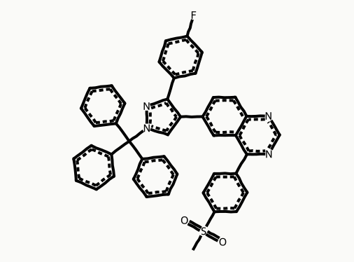 CS(=O)(=O)c1ccc(-c2ncnc3ccc(-c4cn(C(c5ccccc5)(c5ccccc5)c5ccccc5)nc4-c4ccc(F)cc4)cc23)cc1